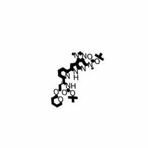 CN(C(=O)OC(C)(C)C)c1nc2[nH]c(-c3cccc([C@H](CCOC4CCCCO4)NC(=O)OC(C)(C)C)n3)cc2c2c1ncn2C